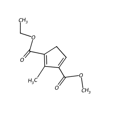 CCOC(=O)C1=C(C)C(C(=O)OC)=CC1